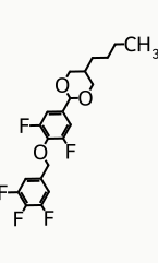 CCCCC1COC(c2cc(F)c(OCc3cc(F)c(F)c(F)c3)c(F)c2)OC1